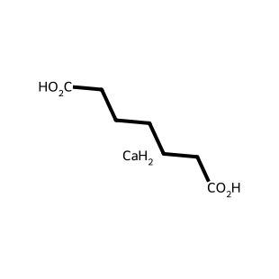 O=C(O)CCCCCC(=O)O.[CaH2]